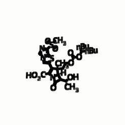 CCCCC(CCCC)OC(=O)OCC[C@@]1(C)C(c2cn3cnc(S(C)(=O)=O)c3s2)=C(C(=O)O)N2C(=O)C([C@@H](C)O)[C@@H]21